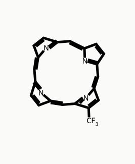 FC(F)(F)C1=CC2=CC3=NC(=CC4=NC(=CC5=NC(=CC1=N2)C=C5)C=C4)C=C3